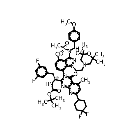 COc1ccc(CN(c2nn(CCN3CC(C)(C)OC(C)(C)C3)c3c(-n4c([C@H](Cc5cc(F)cc(F)c5)NC(=O)OC(C)(C)C)nc5nc(C6CCC(F)(F)CC6)cc(C)c5c4=O)ccc(Cl)c23)S(C)(=O)=O)cc1